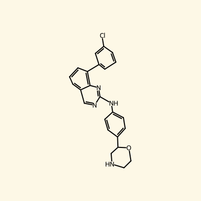 Clc1cccc(-c2cccc3cnc(Nc4ccc(C5CNCCO5)cc4)nc23)c1